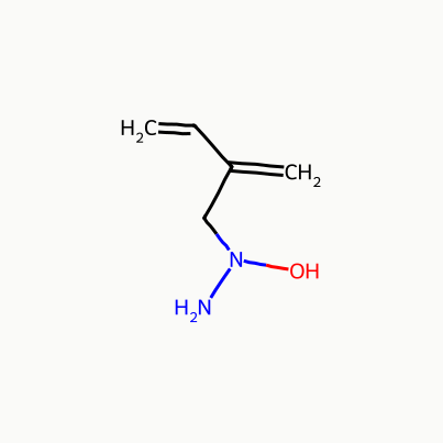 C=CC(=C)CN(N)O